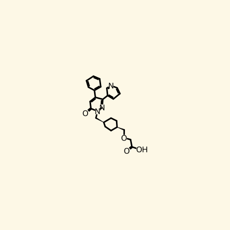 O=C(O)COC[C@H]1CC[C@@H](Cn2nc(-c3cccnc3)c(-c3ccccc3)cc2=O)CC1